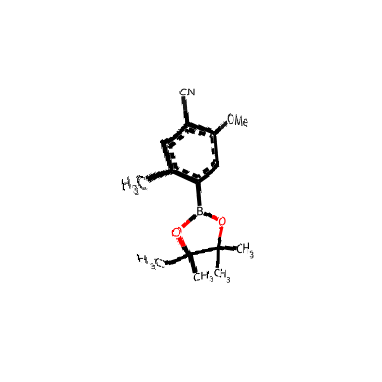 COc1cc(B2OC(C)(C)C(C)(C)O2)c(C)cc1C#N